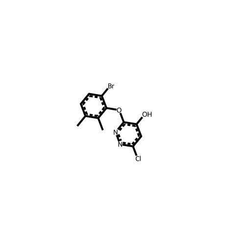 Cc1ccc(Br)c(Oc2nnc(Cl)cc2O)c1C